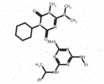 CCNc1nc(NC(C)C(C)C)nc(SC)n1.CN(C)c1nc(=O)n(C2CCCCC2)c(=O)n1C